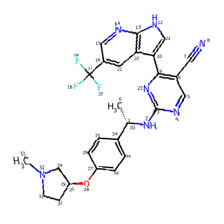 C[C@H](Nc1ncc(C#N)c(-c2c[nH]c3ncc(C(F)(F)F)cc23)n1)c1ccc(O[C@H]2CCN(C)C2)cc1